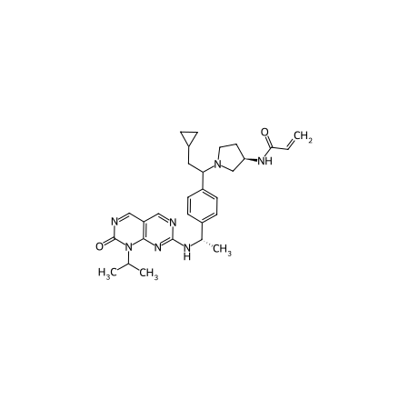 C=CC(=O)N[C@@H]1CCN(C(CC2CC2)c2ccc([C@H](C)Nc3ncc4cnc(=O)n(C(C)C)c4n3)cc2)C1